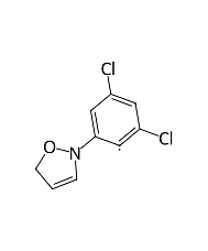 Clc1[c]c(N2C=CCO2)cc(Cl)c1